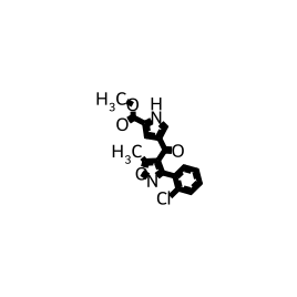 COC(=O)c1cc(C(=O)c2c(-c3ccccc3Cl)noc2C)c[nH]1